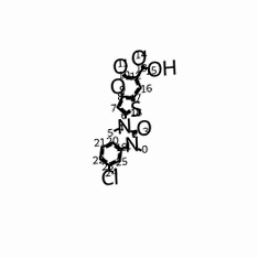 CN(C(=O)N(C)c1cc2oc(=O)c(C(=O)O)cc2s1)c1cccc(Cl)c1